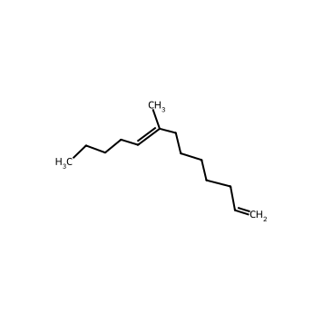 C=CCCCCCC(C)=CCCCC